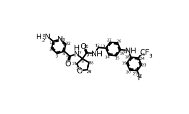 Nc1ccc(C(=O)NC2(C(=O)NCc3ccc(Nc4ccc(F)cc4C(F)(F)F)cc3)CCOC2)cn1